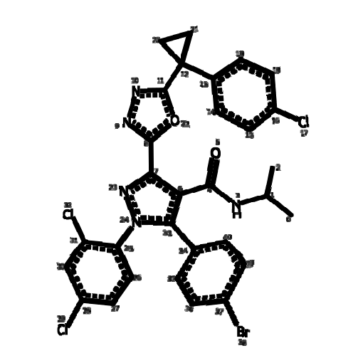 CC(C)NC(=O)c1c(-c2nnc(C3(c4ccc(Cl)cc4)CC3)o2)nn(-c2ccc(Cl)cc2Cl)c1-c1ccc(Br)cc1